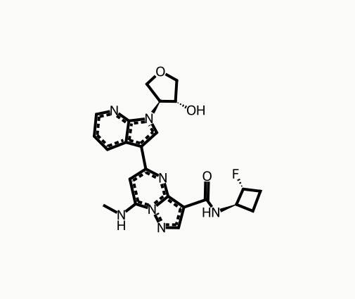 CNc1cc(-c2cn([C@H]3COC[C@@H]3O)c3ncccc23)nc2c(C(=O)N[C@@H]3CC[C@H]3F)cnn12